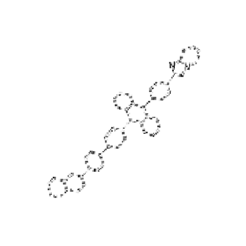 c1ccc2cc(-c3ccc(-c4ccc(-c5c6ccccc6c(-c6ccc(-c7cn8ccccc8n7)cc6)c6ccccc56)cc4)cc3)ccc2c1